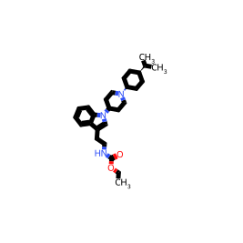 CCOC(=O)NCCc1cn(C2CCN([C@H]3CC[C@@H](C(C)C)CC3)CC2)c2ccccc12